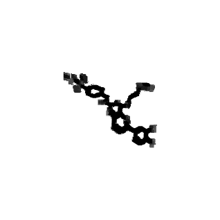 COCCOc1nc(NCc2ccc(S(N)(=O)=O)cc2)nc2ccc(-c3ccc(F)c(Cl)c3)nc12